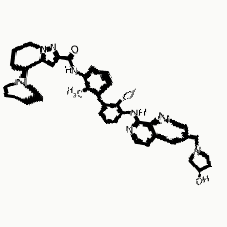 Cc1c(NC(=O)c2cc3n(n2)CCCC3N2CCCC2)cccc1-c1cccc(Nc2nccc3cc(CN4CC[C@@H](O)C4)cnc23)c1Cl